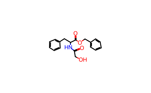 O=C(CO)NC(Cc1ccccc1)C(=O)OCc1ccccc1